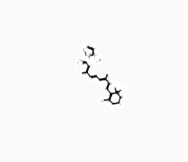 CC(C=CC1=C(C)CCCC1(C)C)=CC=CC(C)=CC(=O)n1sccc1=O